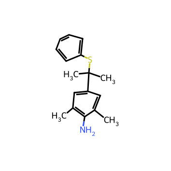 Cc1cc(C(C)(C)Sc2ccccc2)cc(C)c1N